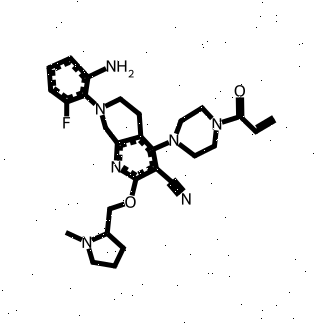 C=CC(=O)N1CCN(c2c(C#N)c(OCC3CCCN3C)nc3c2CCN(c2c(N)cccc2F)C3)CC1